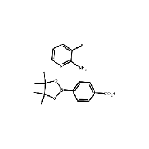 CC1(C)OB(c2ccc(C(=O)O)cc2)OC1(C)C.Nc1ncccc1F